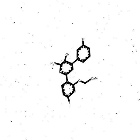 COCOc1cc(F)ccc1-c1cc(-c2cccc(Br)c2)c(C#N)c(N)n1